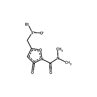 CC[S+]([O-])Cc1cc(=O)n(C(=O)N(C)C)o1